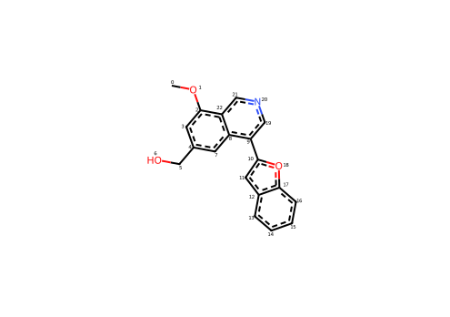 COc1cc(CO)cc2c(-c3cc4ccccc4o3)cncc12